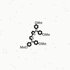 COc1ccc(N(c2ccc(OC)cc2)c2ccc(-c3ccc(N(c4ccc(OC)cc4)c4ccc(OC)cc4)s3)s2)cc1